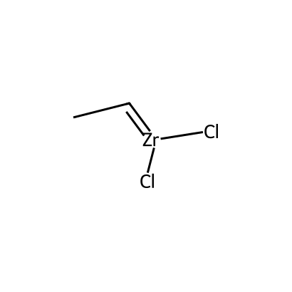 C[CH]=[Zr]([Cl])[Cl]